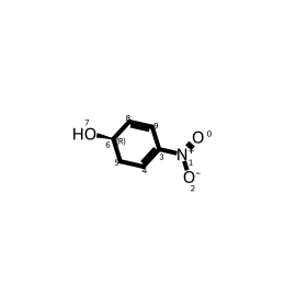 O=[N+]([O-])C1=CC[C@@H](O)C=C1